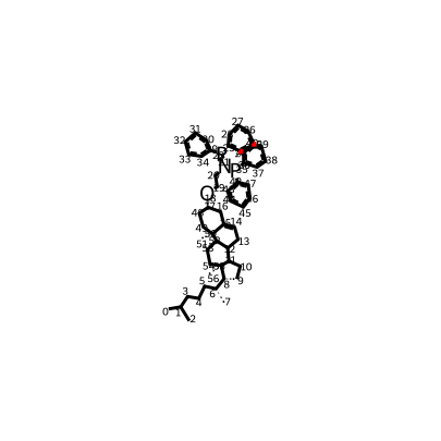 CC(C)CCC[C@@H](C)[C@H]1CCC2C3CC=C4C[C@@H](OCCN(P(c5ccccc5)c5ccccc5)P(c5ccccc5)c5ccccc5)CC[C@]4(C)C3CC[C@@]21C